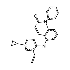 C=Cc1cc(C2CC2)ccc1Nc1cccc(N(C=O)c2ccccc2)c1/C=C\C